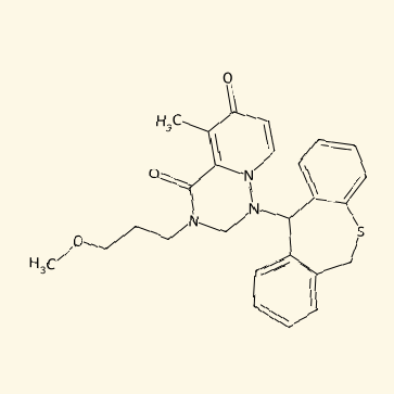 COCCCN1CN(C2c3ccccc3CSc3ccccc32)n2ccc(=O)c(C)c2C1=O